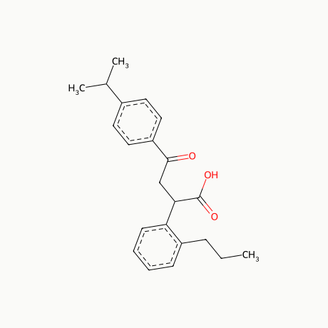 CCCc1ccccc1C(CC(=O)c1ccc(C(C)C)cc1)C(=O)O